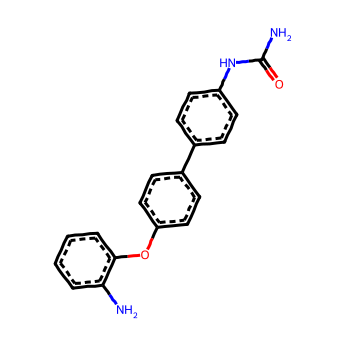 NC(=O)Nc1ccc(-c2ccc(Oc3ccccc3N)cc2)cc1